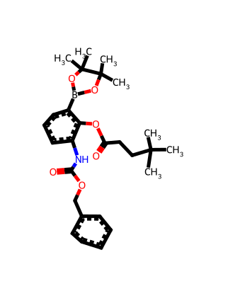 CC(C)(C)CCC(=O)Oc1c(NC(=O)OCc2ccccc2)cccc1B1OC(C)(C)C(C)(C)O1